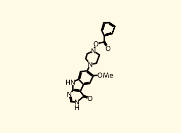 COc1cc2c(cc1N1CCN(OC(=O)c3ccccc3)CC1)[nH]c1nc[nH]c(=O)c12